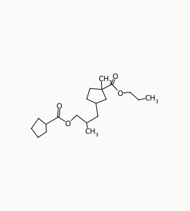 CCCOC(=O)C1(C)CCC(CC(C)COC(=O)C2CCCC2)C1